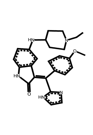 CCN1CCC(Nc2ccc3c(c2)/C(=C(\c2ccc(OC)cc2)c2ncc[nH]2)C(=O)N3)CC1